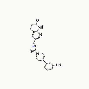 N#Cc1cccc(C2=CCN(C(=O)/C=C/c3cnc4c(c3)CCC(=O)N4)CC2)c1